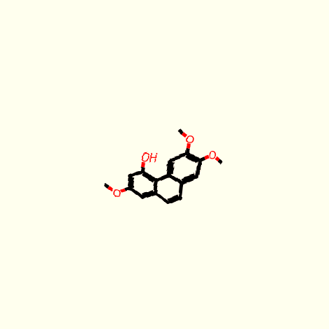 COc1cc(O)c2c(ccc3cc(OC)c(OC)cc32)c1